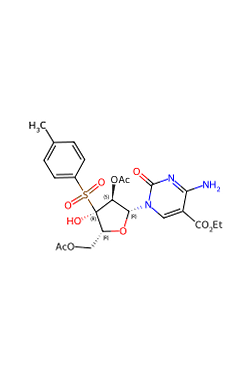 CCOC(=O)c1cn([C@@H]2O[C@H](COC(C)=O)[C@@](O)(S(=O)(=O)c3ccc(C)cc3)[C@H]2OC(C)=O)c(=O)nc1N